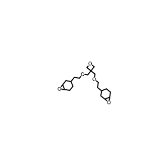 C(CC1CCC2OC2C1)OCC1(COCCC2CCC3OC3C2)COC1